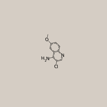 COc1ccc2ncc(Cl)c(N)c2c1